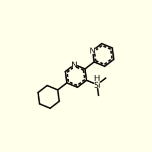 C[SiH](C)c1cc(C2CCCCC2)cnc1-c1ccccn1